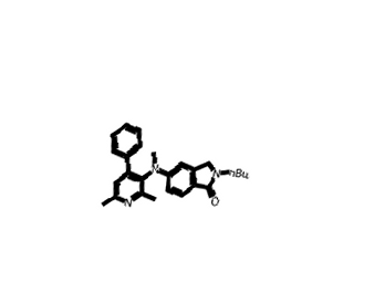 CCCCN1Cc2cc(N(C)c3c(-c4ccccc4)cc(C)nc3C)ccc2C1=O